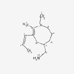 C/C=C\C1=C(/C)C(C)CCCC(CN)C1